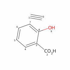 C#C.O=C(O)c1ccccc1O